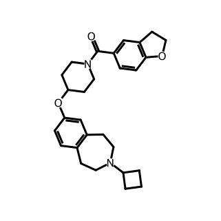 O=C(c1ccc2c(c1)CCO2)N1CCC(Oc2ccc3c(c2)CCN(C2CCC2)CC3)CC1